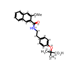 COc1cc2ccccc2cc1C(=O)NCCc1ccc(OC(C)(C)C(=O)O)cc1